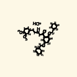 COc1ccc(CCNCC(=O)c2cc(OCc3ccccc3)ccc2OCc2ccccc2)cc1OC.Cl